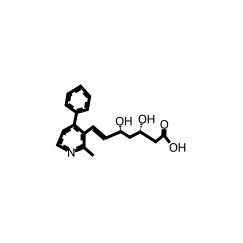 Cc1nccc(-c2ccccc2)c1/C=C/[C@H](O)C[C@H](O)CC(=O)O